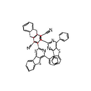 N#Cc1c(-c2nc(-c3ccccc3)c3sc4ccccc4c3n2)ccc2c1C1c3ccccc3C2c2c1ccc(-c1nc(-c3ccccc3)c3sc4ccccc4c3n1)c2C#N